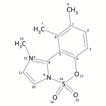 Cc1ccc2c(c1C)-c1n(cc[n+]1C)S(=O)(=O)O2